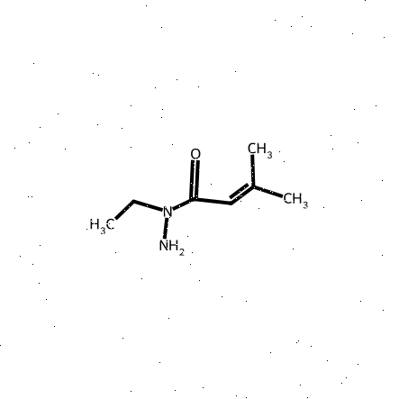 CCN(N)C(=O)C=C(C)C